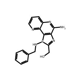 Nc1nc2cccnc2c2c1nc(CO)n2NCc1ccccc1